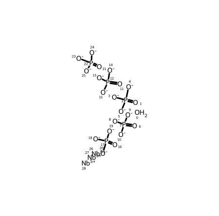 O.O=P([O-])([O-])[O-].O=P([O-])([O-])[O-].O=P([O-])([O-])[O-].O=P([O-])([O-])[O-].O=P([O-])([O-])[O-].[Nb+5].[Nb+5].[Nb+5]